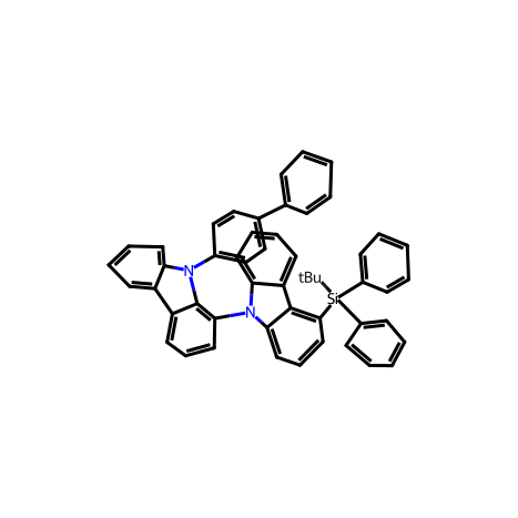 CC(C)(C)[Si](c1ccccc1)(c1ccccc1)c1cccc2c1c1ccccc1n2-c1cccc2c3ccccc3n(-c3ccc(-c4ccccc4)cc3)c12